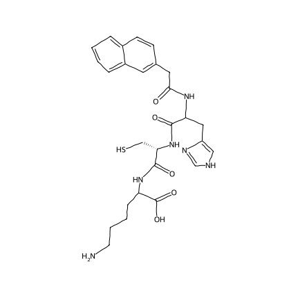 NCCCCC(NC(=O)[C@H](CS)NC(=O)C(Cc1c[nH]cn1)NC(=O)Cc1ccc2ccccc2c1)C(=O)O